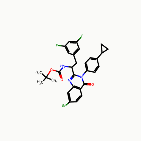 CC(C)(C)OC(=O)NC(Cc1cc(F)cc(F)c1)c1nc2cc(Br)ccc2c(=O)n1-c1ccc(C2CC2)cc1